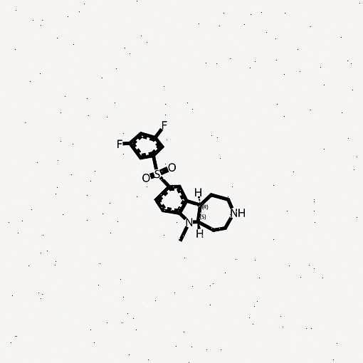 CN1c2ccc(S(=O)(=O)c3cc(F)cc(F)c3)cc2[C@H]2CCNCC[C@@H]21